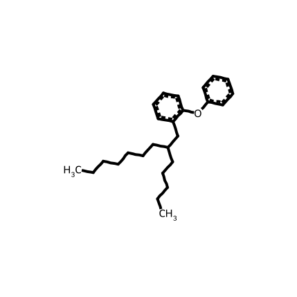 CCCCCCCC(CCCCC)Cc1ccccc1Oc1ccccc1